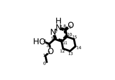 CCOC(O)c1n[nH]c(=O)c2c1CCCC2